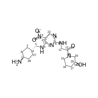 N[C@H]1CC[C@H](CNc2nc(NCC(=O)N3CCC[C@H](O)C3)ncc2[N+](=O)[O-])CC1